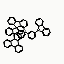 c1cc(N(c2ccc3c4ccccc4c4ccccc4c3c2)c2cccc3c2C2(c4ccccc4-c4ccccc42)c2ccccc2-3)cc(-n2c3ccccc3c3ccccc32)c1